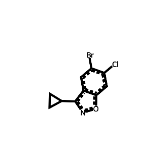 Clc1cc2onc(C3CC3)c2cc1Br